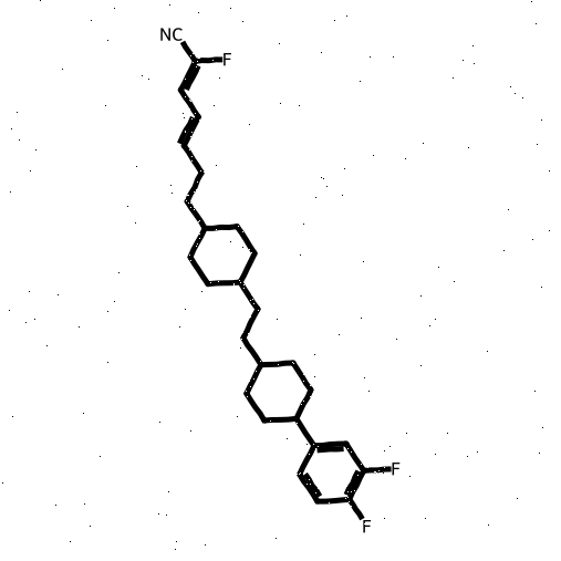 N#CC(F)=CC=CCCC1CCC(CCC2CCC(c3ccc(F)c(F)c3)CC2)CC1